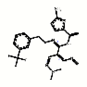 C=N/C=C(/C=N\N(C)C)C(=N/CCc1cccc(C(F)(F)F)c1)\NC(=C)c1ccc(N)s1